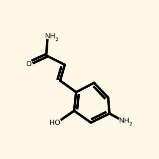 NC(=O)C=Cc1ccc(N)cc1O